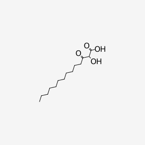 CCCCCCCCCCCC(=O)C(O)C(=O)O